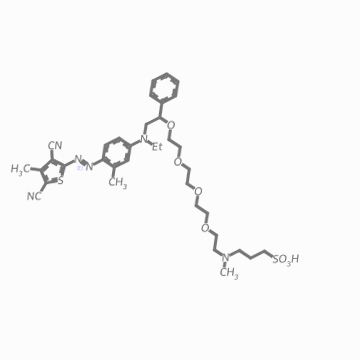 CCN(CC(OCCOCCOCCOCCN(C)CCCS(=O)(=O)O)c1ccccc1)c1ccc(/N=N/c2sc(C#N)c(C)c2C#N)c(C)c1